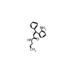 C=CCNC(=O)/C=C(/c1ccccc1)c1ccccc1N